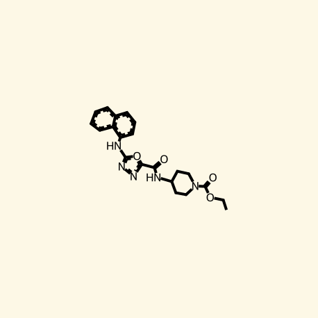 CCOC(=O)N1CCC(NC(=O)c2nnc(Nc3cccc4ccccc34)o2)CC1